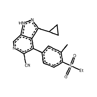 CCS(=O)(=O)c1ccc(-c2c(C#N)ncc3[nH]nc(C4CC4)c23)cc1C